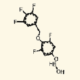 OBOc1cc(F)c(OCc2cc(F)c(F)c(F)c2)c(F)c1